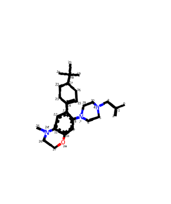 CC(C)CN1CCN(c2cc3c(cc2C2=CCC(C(C)(C)C)CC2)N(C)CCO3)CC1